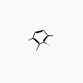 CCc1c(OC(C)=O)ccc(C(=O)O)c1F